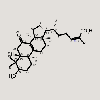 C/C(=C/CC[C@@H](C)[C@H]1CC[C@]2(C)C3=C(CC[C@@]12C)[C@@]1(C)CC[C@@H](O)C(C)(C)[C@@H]1CC3=O)C(=O)O